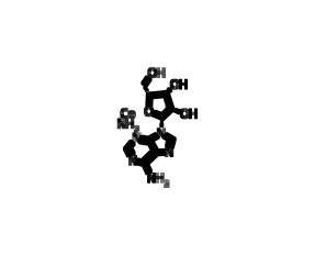 Nc1ncnc2c1ncn2[C@@H]1O[C@H](CO)[C@@H](O)[C@H]1O.[NH2][Co]